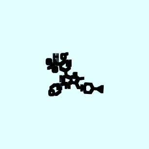 COc1ncc(-c2nc(N3CCOCC3)nc3c(CN4CCC(C5CC5)CC4)c(C)sc23)cc1NS(C)(=O)=O